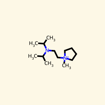 CC(C)N(CC[N+]1(C)CCCC1)C(C)C